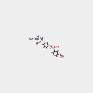 CCO[C@H](Cc1ccc(OC[C@@H](O)c2cccc(CO)c2)cc1)C(=O)NOC